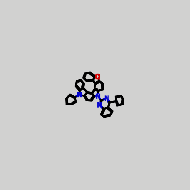 c1ccc(-c2nc(-n3c4ccc5oc6ccccc6c5c4c4c5c6ccccc6n(-c6ccccc6)c5ccc43)nc3ccccc23)cc1